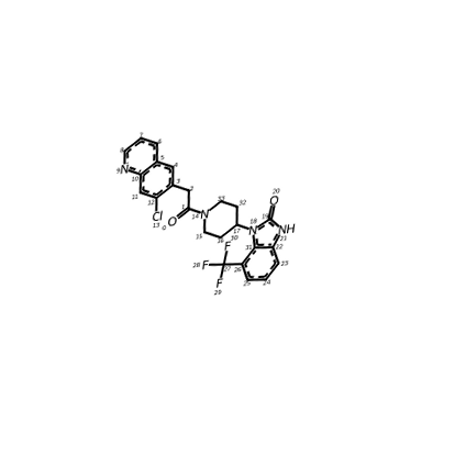 O=C(Cc1cc2cccnc2cc1Cl)N1CCC(n2c(=O)[nH]c3cccc(C(F)(F)F)c32)CC1